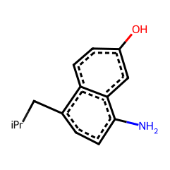 CC(C)Cc1ccc(N)c2cc(O)ccc12